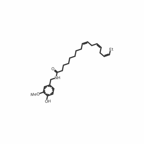 CC/C=C\C/C=C\C/C=C\CCCCCCCC(=O)NCc1ccc(O)c(OC)c1